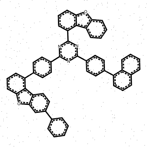 c1ccc(-c2ccc3c(c2)oc2cccc(-c4ccc(-c5nc(-c6ccc(-c7cccc8ccccc78)cc6)nc(-c6cccc7oc8ccccc8c67)n5)cc4)c23)cc1